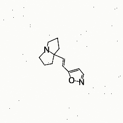 C(=CC12CCCN1CCC2)c1ccno1